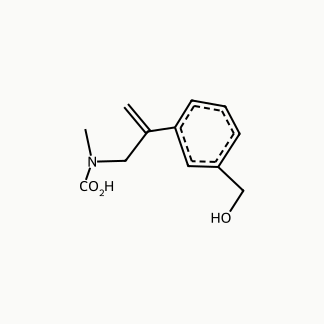 C=C(CN(C)C(=O)O)c1cccc(CO)c1